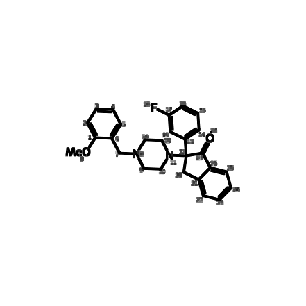 COc1ccccc1CN1CCN(C2(c3cccc(F)c3)Cc3ccccc3C2=O)CC1